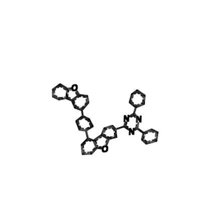 c1ccc(-c2nc(-c3ccccc3)nc(-c3ccc4c(c3)oc3cccc(-c5ccc(-c6ccc7oc8ccccc8c7c6)cc5)c34)n2)cc1